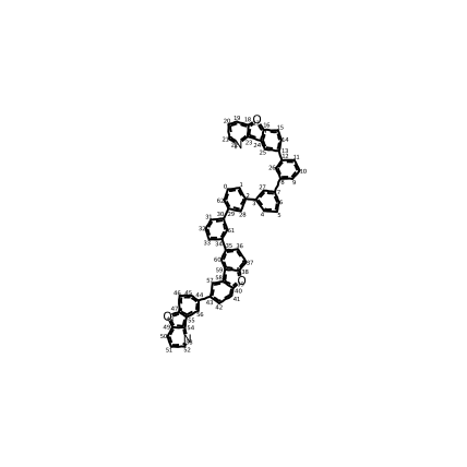 c1cc(-c2cccc(-c3cccc(-c4ccc5oc6cccnc6c5c4)c3)c2)cc(-c2cccc(-c3ccc4oc5ccc(-c6ccc7oc8cccnc8c7c6)cc5c4c3)c2)c1